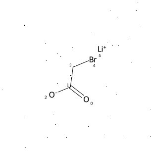 O=C([O-])CBr.[Li+]